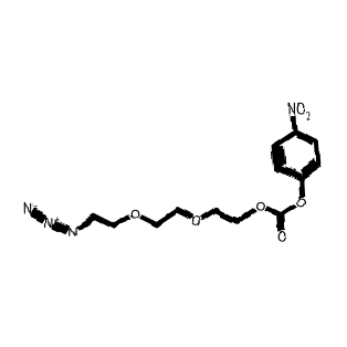 [N-]=[N+]=NCCOCCOCCOC(=O)Oc1ccc([N+](=O)[O-])cc1